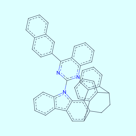 c1ccc2c(c1)-c1cc3c4ccccc4n(-c4nc(-c5ccc6ccccc6c5)c5ccccc5n4)c3c3c1CCC2c1ccccc1-3